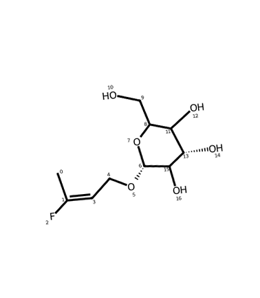 C/C(F)=C\CO[C@@H]1OC(CO)C(O)[C@H](O)C1O